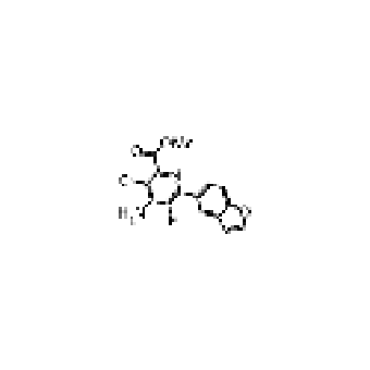 COC(=O)c1nc(-c2ccc3occc3c2)c(F)c(N)c1Cl